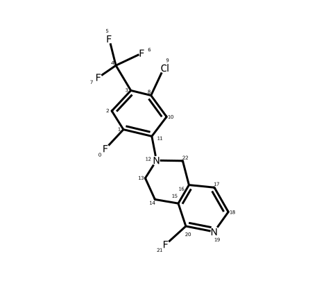 Fc1cc(C(F)(F)F)c(Cl)cc1N1CCc2c(ccnc2F)C1